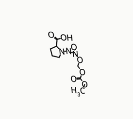 COC(=O)OCOn1on1N1CCCC1C(=O)O